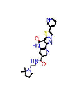 CC1(C)CCCN1CCNC(=O)c1cnc2c(c1)[nH]c(=O)c1c2nn2cc(-c3cccnc3)sc12